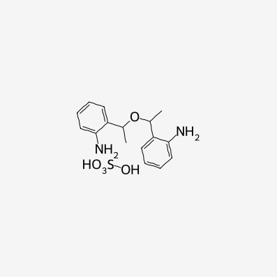 CC(OC(C)c1ccccc1N)c1ccccc1N.O=S(=O)(O)O